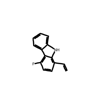 C=Cc1ccc(F)c2c1[nH]c1ccccc12